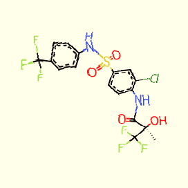 C[C@@](O)(C(=O)Nc1ccc(S(=O)(=O)Nc2ccc(C(F)(F)F)cc2)cc1Cl)C(F)(F)F